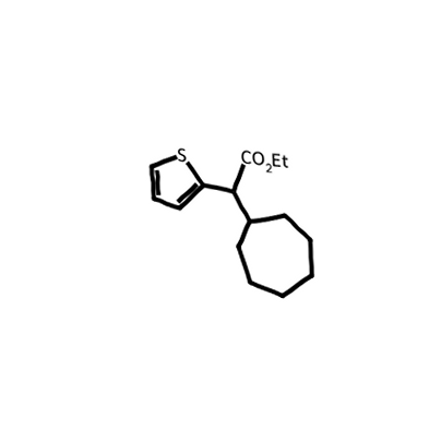 CCOC(=O)C(c1cccs1)C1CCCCCC1